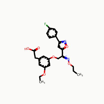 CCCO/N=C(\COc1cc(CC(=O)O)cc(OCC)c1)c1cc(-c2ccc(F)cc2)no1